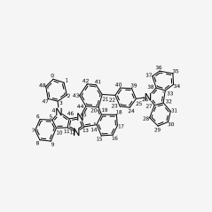 c1ccc(-n2c3ccccc3c3nc4c5ccccc5c5c(-c6ccc(-n7c8ccccc8c8ccccc87)cc6)cccc5n4c32)cc1